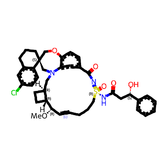 CO[C@H]1/C=C/CCC[S@@](=O)(NC(=O)C[C@H](O)c2ccccc2)=NC(=O)c2ccc3c(c2)N(C[C@@H]2CC[C@H]21)C[C@@]1(CCCc2cc(Cl)ccc21)CO3